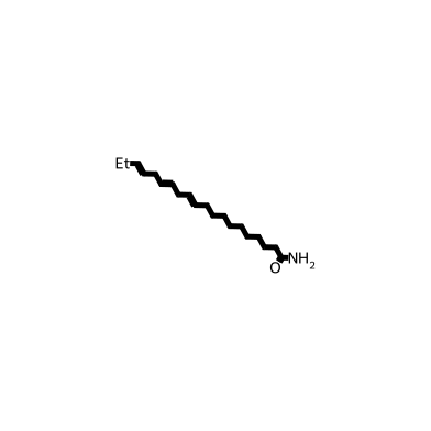 CCC=CCC=CCC=CCCCCCCCCCC(N)=O